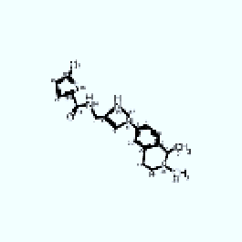 CC1c2ccc(N3C=C(CNC(=O)c4ccc(Cl)s4)NC3)cc2CCN1C